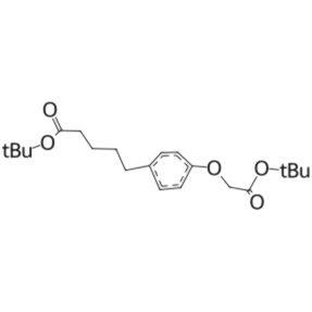 CC(C)(C)OC(=O)CCCCc1ccc(OCC(=O)OC(C)(C)C)cc1